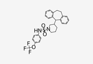 O=S(=O)(Nc1ccc(OC(F)(F)F)cc1)N1CCCC(C2c3ccccc3CCc3ccccc32)C1